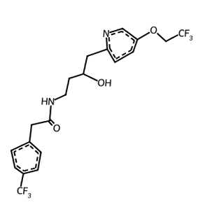 O=C(Cc1ccc(C(F)(F)F)cc1)NCCC(O)Cc1ccc(OCC(F)(F)F)cn1